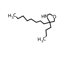 CCCCCCCCC1(CCCC)COCN1